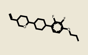 C=CC1CCC(C2CCC(c3ccc(OCCC)c(F)c3F)CC2)OC1